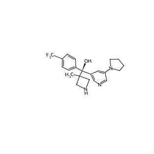 CC1([C@](O)(c2ccc(C(F)(F)F)cc2)c2cncc(N3CCCC3)c2)CNC1